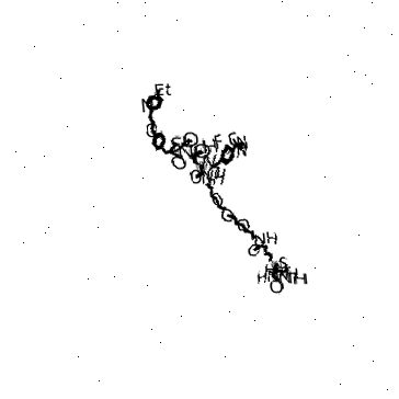 CCc1ccc(CCOc2ccc(CC3SC(=O)N(C(=O)C[C@@H](NC(=O)c4ccc(C5(C(F)(F)F)N=N5)cc4)C(=O)NCCCOCCOCCOCCCNC(=O)CCCC[C@@H]4SC[C@@H]5NC(=O)N[C@@H]54)C3=O)cc2)nc1